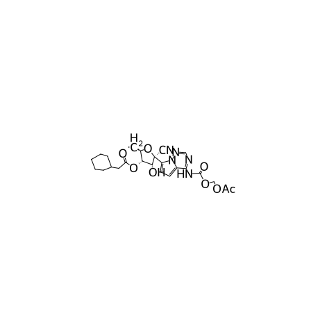 [CH2][C@H]1O[C@@](C#N)(c2ccc3c(NC(=O)OCOC(C)=O)ncnn23)[C@H](O)[C@@H]1OC(=O)CC1CCCCC1